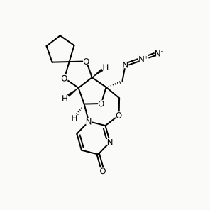 [N-]=[N+]=NC[C@]12COc3nc(=O)ccn3[C@H](O1)[C@@H]1OC3(CCCC3)O[C@@H]12